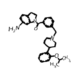 CC(C)Oc1ccccc1C1CCN(Cc2cccc(C(=O)N3CCc4ccc(N)cc43)c2)CC1